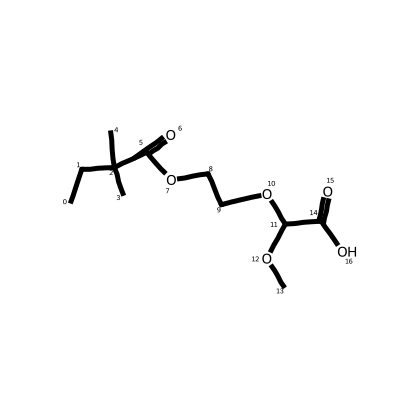 CCC(C)(C)C(=O)OCCOC(OC)C(=O)O